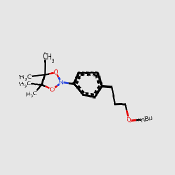 CCCCOCCCc1ccc(N2OC(C)(C)C(C)(C)O2)cc1